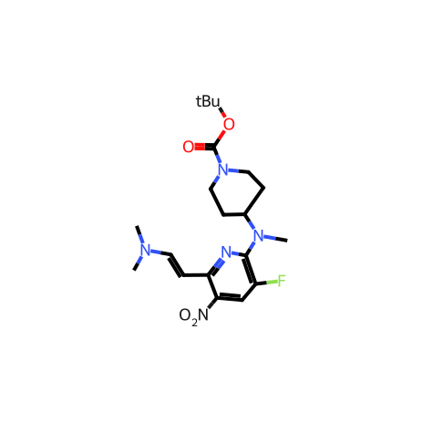 CN(C)/C=C/c1nc(N(C)C2CCN(C(=O)OC(C)(C)C)CC2)c(F)cc1[N+](=O)[O-]